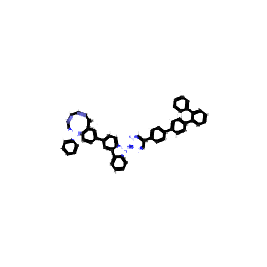 C=C1/C=C\C=C/CN(c2ccccc2)c2ccc(-c3ccc4c(c3)c3ccccc3n4-c3ncc(-c4ccc(-c5ccc(-c6ccccc6-c6ccccc6)cc5)cc4)cn3)cc21